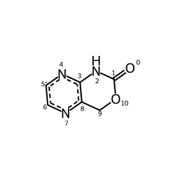 O=C1Nc2n[c]cnc2CO1